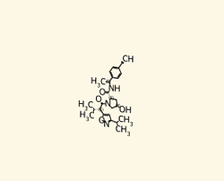 C#Cc1ccc([C@H](C)NC(=O)[C@@H]2C[C@@H](O)CN2C(=O)[C@H](c2cc(C(C)C)no2)C(C)C)cc1